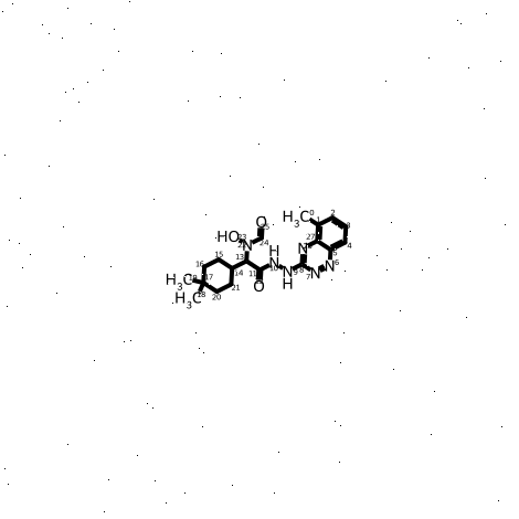 Cc1cccc2nnc(NNC(=O)C(C3CCC(C)(C)CC3)N(O)C=O)nc12